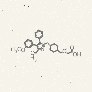 CCc1nn(CC2CCC(COCC(=O)O)CC2)c(-c2ccccc2)c1-c1cccc(OC)c1